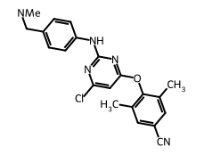 CNCc1ccc(Nc2nc(Cl)cc(Oc3c(C)cc(C#N)cc3C)n2)cc1